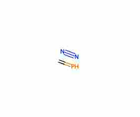 C=P.N#N